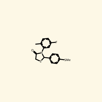 CSc1ccc(C2SCC(=O)N2c2cc(F)ccc2C)cc1